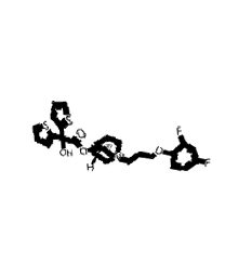 O=C(O[C@H]1C[N+]2(CCCOc3ccc(F)cc3F)CCC1CC2)C(O)(c1cccs1)c1cccs1